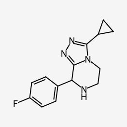 Fc1ccc(C2NCCn3c(C4CC4)nnc32)cc1